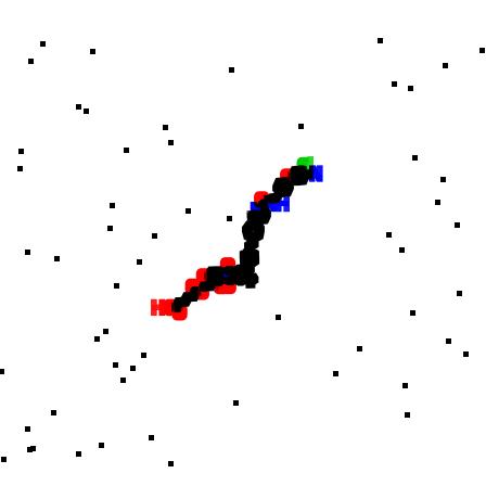 C=C(C)c1cc2c(cc1C=C1CCC(CCC3CCC=C(c4ccc(C(=O)NCC[C@H]5CC[C@@H](Oc6ccc(C#N)c(Cl)c6)CC5)nc4C)CC3)CC1)C(=O)N(C1CCC(=O)/C(=C\COC(=O)CCCCC(=O)O)C1=O)C2=O